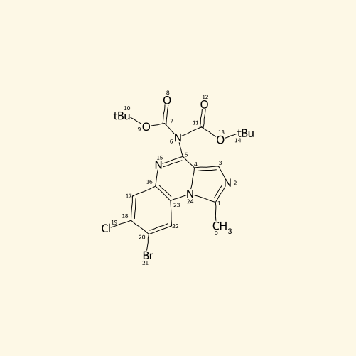 Cc1ncc2c(N(C(=O)OC(C)(C)C)C(=O)OC(C)(C)C)nc3cc(Cl)c(Br)cc3n12